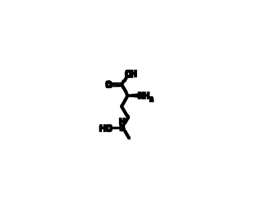 C[SH](O)CC[C@H](N)C(=O)O